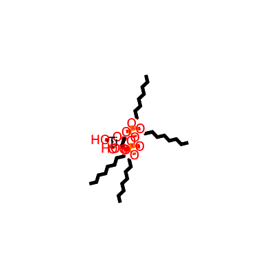 CCCCCCCCOP(=O)(OCCCCCCCC)OC([O][Ti](=[O])[OH])(OP(=O)(OCCCCCCCC)OCCCCCCCC)C(=O)O